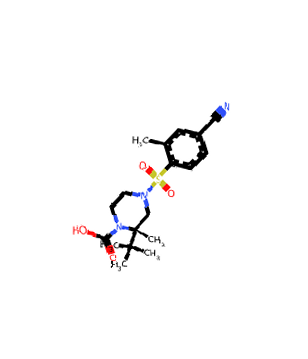 Cc1cc(C#N)ccc1S(=O)(=O)N1CCN(C(=O)O)[C@@](C)(C(C)(C)C)C1